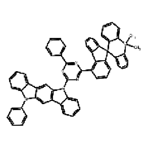 C[Si]1(C)c2ccccc2C2(c3ccccc3-c3c(-c4nc(-c5ccccc5)nc(-n5c6ccccc6c6cc7c(cc65)c5ccccc5n7-c5ccccc5)n4)cccc32)c2ccccc21